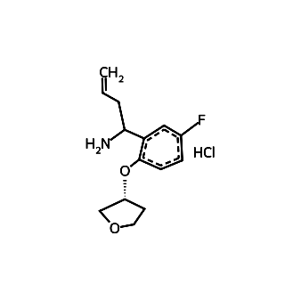 C=CCC(N)c1cc(F)ccc1O[C@@H]1CCOC1.Cl